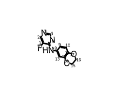 Fc1cncnc1Nc1ccc2c(c1)OCCO2